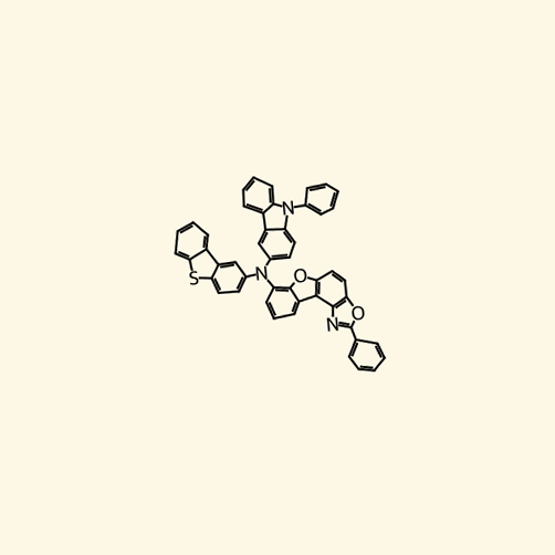 c1ccc(-c2nc3c(ccc4oc5c(N(c6ccc7sc8ccccc8c7c6)c6ccc7c(c6)c6ccccc6n7-c6ccccc6)cccc5c43)o2)cc1